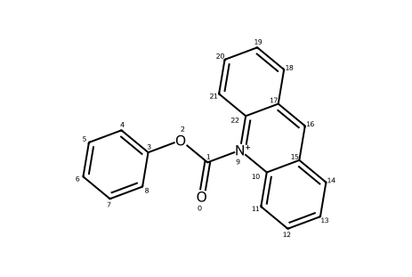 O=C(Oc1ccccc1)[n+]1c2ccccc2cc2ccccc21